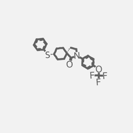 O=C1N(c2ccc(OC(F)(F)F)cc2)CC[C@]12CC[C@@H](Sc1ccccc1)CC2